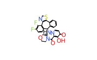 O=C1c2c(O)c(=O)ccn2N(C2c3ccccc3-c3scnc3-c3c2ccc(F)c3F)[C@@H]2COCCN12